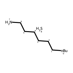 CCCCCCCCCCN.S